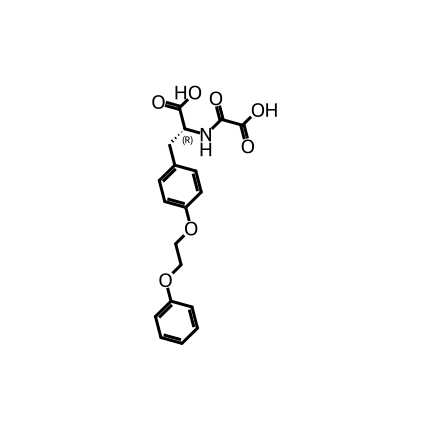 O=C(O)C(=O)N[C@H](Cc1ccc(OCCOc2ccccc2)cc1)C(=O)O